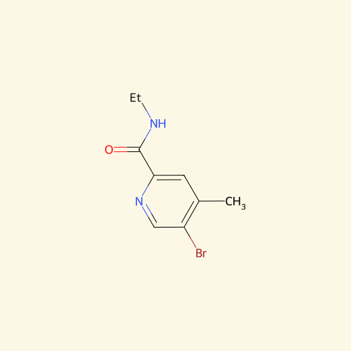 CCNC(=O)c1cc(C)c(Br)cn1